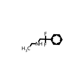 CCNCC(F)(F)c1ccccc1